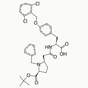 CC(C)(C)OC(=O)[C@@H]1CC[C@H](CC(=O)N[C@@H](Cc2ccc(OCc3c(Cl)cccc3Cl)cc2)C(=O)O)N1Cc1ccccc1